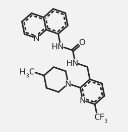 CC1CCN(c2nc(C(F)(F)F)ccc2CNC(=O)Nc2cccc3cccnc23)CC1